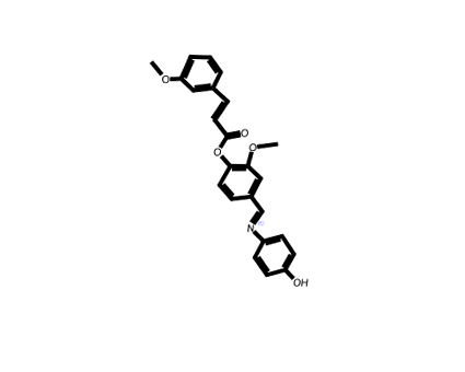 COc1cccc(C=CC(=O)Oc2ccc(/C=N/c3ccc(O)cc3)cc2OC)c1